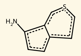 Nc1ccc2ccscc1-2